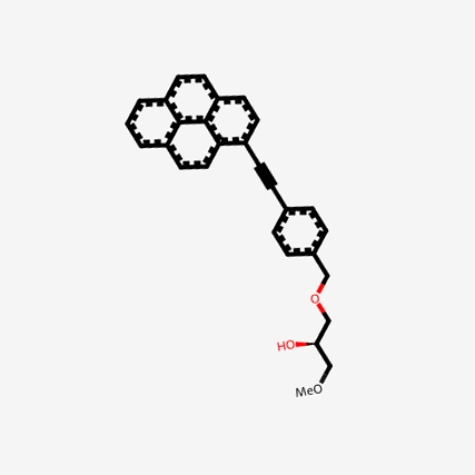 COC[C@@H](O)COCc1ccc(C#Cc2ccc3ccc4cccc5ccc2c3c45)cc1